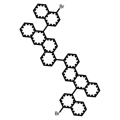 Brc1ccc(-c2c3ccccc3cc3c2ccc2c(-c4cccc5c4ccc4c(-c6ccc(Br)c7ccccc67)c6ccccc6cc45)cccc23)c2ccccc12